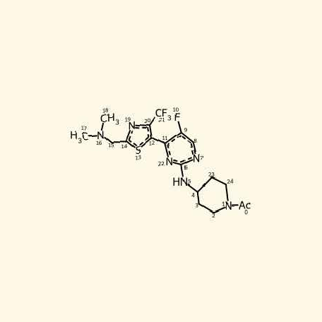 CC(=O)N1CCC(Nc2ncc(F)c(-c3sc(CN(C)C)nc3C(F)(F)F)n2)CC1